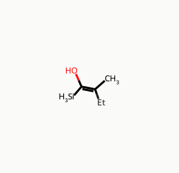 CCC(C)=C(O)[SiH3]